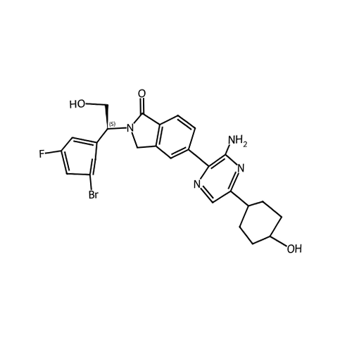 Nc1nc(C2CCC(O)CC2)cnc1-c1ccc2c(c1)CN([C@H](CO)c1cc(F)cc(Br)c1)C2=O